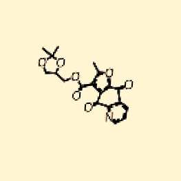 Cc1oc2c(c1C(=O)OCC1COC(C)(C)O1)C(=O)c1ncccc1C2=O